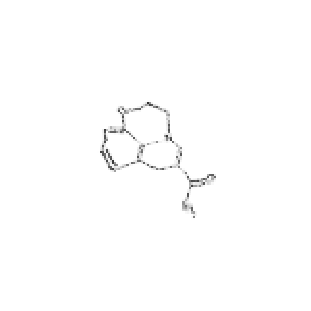 NC(=O)C1=CN2CCOc3cccc(c32)C1